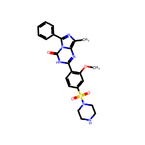 COc1cc(S(=O)(=O)N2CCNCC2)ccc1-c1nc2c(C)nc(-c3ccccc3)n2c(=O)[nH]1